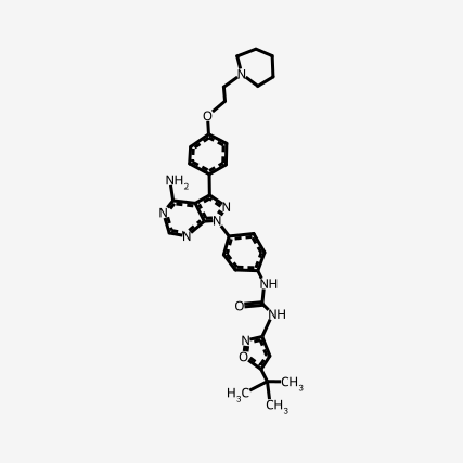 CC(C)(C)c1cc(NC(=O)Nc2ccc(-n3nc(-c4ccc(OCCN5CCCCC5)cc4)c4c(N)ncnc43)cc2)no1